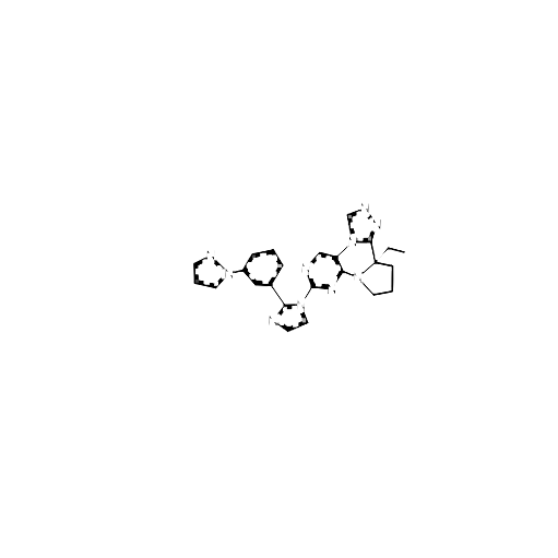 CC[C@@]12CCCN1c1nc(-n3ccnc3-c3cccc(-n4cccn4)c3)ncc1-n1cnnc12